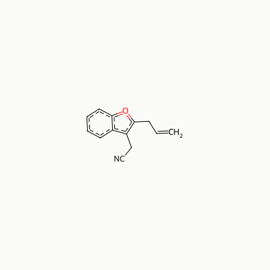 C=CCc1oc2ccccc2c1CC#N